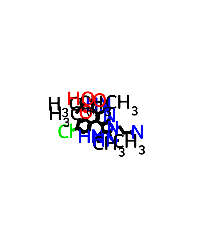 CNc1nc2c(c(NC)c(NC)n2CCC#N)c(-c2ccc(Cl)cc2)c1[C@@H](OC(C)(C)C)C(=O)O